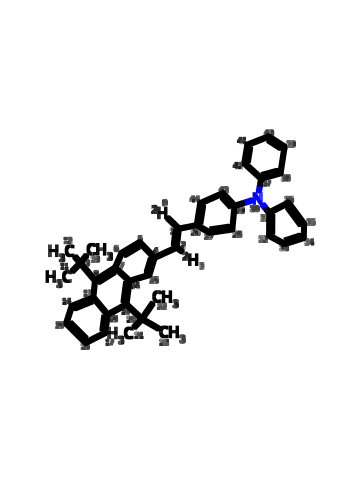 [2H]/C(=C(/[2H])c1ccc2c(C(C)(C)C)c3ccccc3c(C(C)(C)C)c2c1)c1ccc(N(c2ccccc2)c2ccccc2)cc1